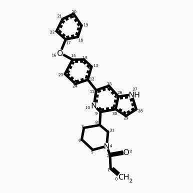 C=CC(=O)N1CCCC(c2nc(-c3ccc(Oc4ccccc4)cc3)cc3[nH]ccc23)C1